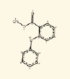 O=NOC(=O)c1ccccc1Oc1ccccc1